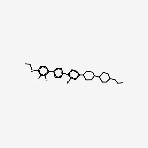 CCCC1CCC(C2CCC(c3ccc(-c4ccc(-c5ccc(OCC)c(F)c5F)cc4)c(F)c3)CC2)CC1